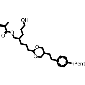 C=C(C)C(=O)OCC(CCCO)CCCC1OCC(CCc2ccc(CCCCC)cc2)CO1